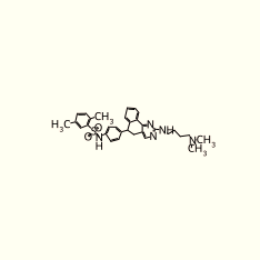 Cc1ccc(C)c(S(=O)(=O)Nc2ccc(C3Cc4cnc(NCCCCN(C)C)nc4-c4ccccc43)cc2)c1